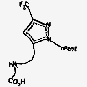 CCCCCn1nc(C(F)(F)F)cc1CNC(=O)O